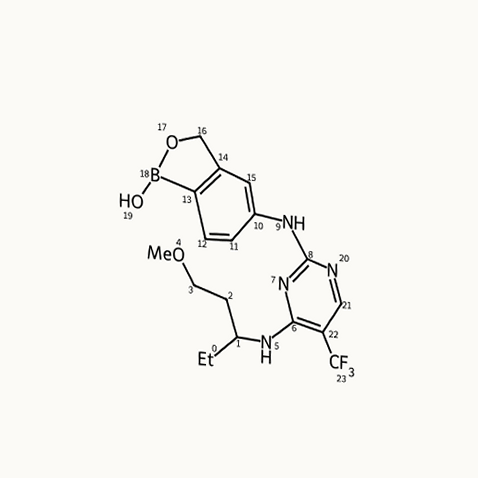 CCC(CCOC)Nc1nc(Nc2ccc3c(c2)COB3O)ncc1C(F)(F)F